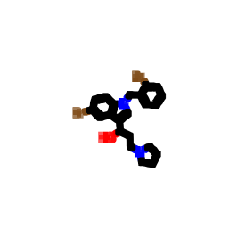 OC(CCN1CCCC1)c1cn(Cc2ccccc2Br)c2ccc(Br)cc12